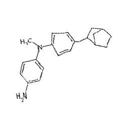 CN(c1ccc(N)cc1)c1ccc(C2CC3CCC2C3)cc1